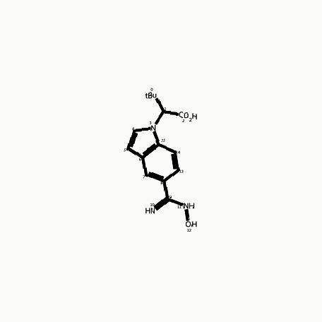 CC(C)(C)C(C(=O)O)n1ccc2cc(C(=N)NO)ccc21